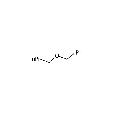 [CH2]C(C)COCCCC